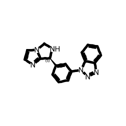 c1cc([C@@H]2NCn3ccnc32)cc(-n2nnc3ccccc32)c1